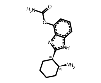 NC(=O)Oc1cccc2[nH]c([C@@H]3CCCC[C@@H]3N)nc12